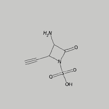 C#CC1C(N)C(=O)N1S(=O)(=O)O